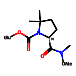 CON(C)C(=O)[C@H]1CCC(C)(C)N1C(=O)OC(C)(C)C